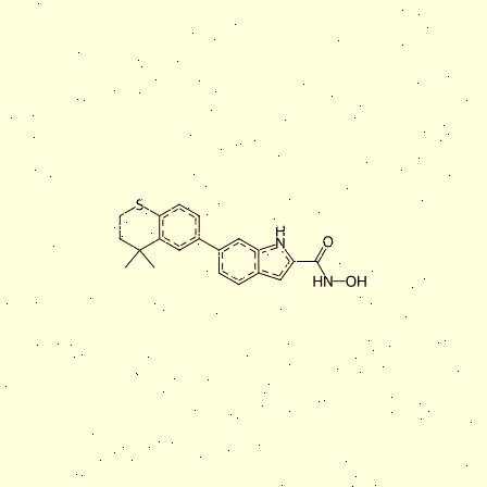 CC1(C)CCSc2ccc(-c3ccc4cc(C(=O)NO)[nH]c4c3)cc21